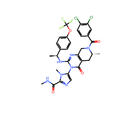 CNC(=O)c1ncc(-n2c(N[C@@H](C)c3ccc(OC(F)(F)F)cc3)nc3c(c2=O)C[C@@H](C)N(C(=O)c2ccc(Cl)c(Cl)c2)C3)n1C